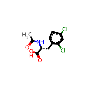 CC(=O)N[C@H](Cc1ccc(Cl)cc1Cl)C(=O)O